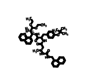 CCOC(OCC)[C@@H](C)[C@H](NC(=O)C(Cc1ccc(OC(C)(C)C)cc1)NC(=O)CN(C)NC(=O)NCc1cccc2ccccc12)c1cccc2cccnc12